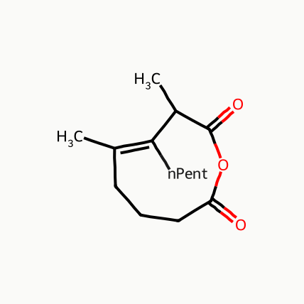 CCCCC/C1=C(/C)CCCC(=O)OC(=O)C1C